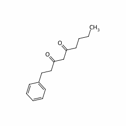 CCCCC(=O)CC(=O)CCc1ccccc1